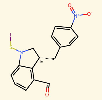 O=Cc1cccc2c1[C@@H](Cc1ccc([N+](=O)[O-])cc1)CN2SI